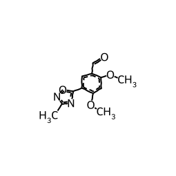 COc1cc(OC)c(-c2nc(C)no2)cc1C=O